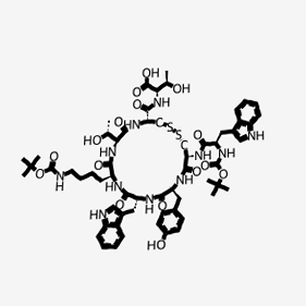 C[C@@H](O)[C@H](NC(=O)[C@@H]1CSSC[C@H](NC(=O)[C@@H](Cc2c[nH]c3ccccc23)NC(=O)OC(C)(C)C)C(=O)N[C@@H](Cc2ccc(O)cc2)C(=O)N[C@H](Cc2c[nH]c3ccccc23)C(=O)N[C@@H](CCCCNC(=O)OC(C)(C)C)C(=O)N[C@@H]([C@@H](C)O)C(=O)N1)C(=O)O